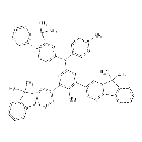 CC(C)(C)c1ccc(N(c2cc(-c3ccc4c(c3)C(C)(C)c3ccccc3-4)c(C(C)(C)C)c(-c3ccc4c(c3)C(C)(C)c3ccccc3-4)c2)c2ccc3c(c2)C(C)(C)c2ccccc2-3)cc1